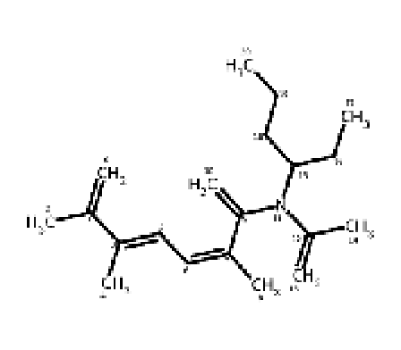 C=C(C)/C(C)=C/C=C(/C)C(=C)N(C(=C)C)C(CC)CCC